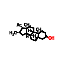 CC(=O)[C@H]1[C@@H](C)C[C@H]2[C@@H]3CC=C4CC(O)CC[C@]4(C)[C@H]3CC[C@@]21C